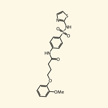 COc1ccccc1OCCCC(=O)Nc1ccc(S(=O)(=O)Nc2nccs2)cc1